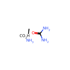 CC(=O)O.N.NC(N)=O